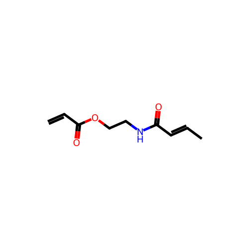 C=CC(=O)OCCNC(=O)C=CC